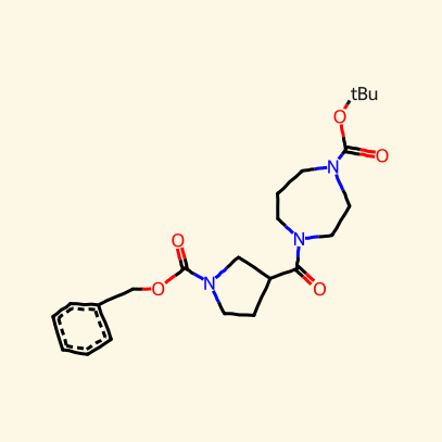 CC(C)(C)OC(=O)N1CCCN(C(=O)C2CCN(C(=O)OCc3ccccc3)C2)CC1